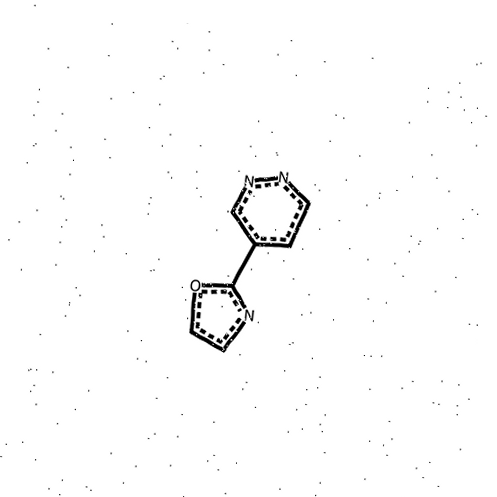 [c]1nnccc1-c1ncco1